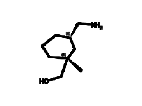 C[C@@]1(CO)CCC[C@H](CN)C1